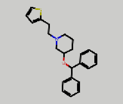 c1ccc(C(OC2CCCN(CCc3cccs3)C2)c2ccccc2)cc1